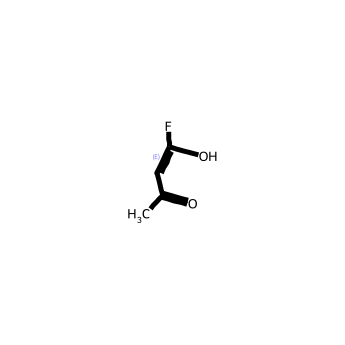 CC(=O)/C=C(\O)F